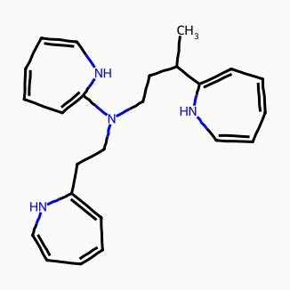 CC(CCN(CCC1=CC=CC=CN1)C1=CC=CC=CN1)C1=CC=CC=CN1